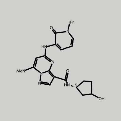 CNc1cc(Nc2cccn(C(C)C)c2=O)nc2c(C(=O)N[C@@H]3CCC(O)C3)cnn12